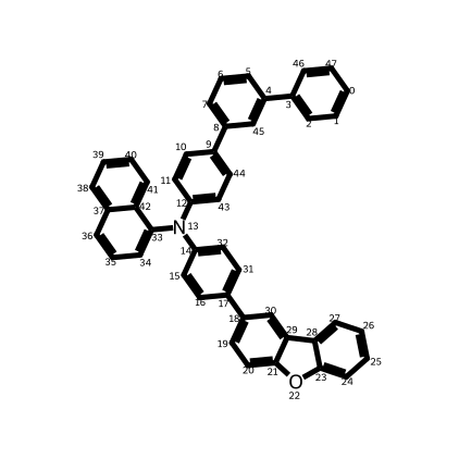 c1ccc(-c2cccc(-c3ccc(N(c4ccc(-c5ccc6oc7ccccc7c6c5)cc4)c4cccc5ccccc45)cc3)c2)cc1